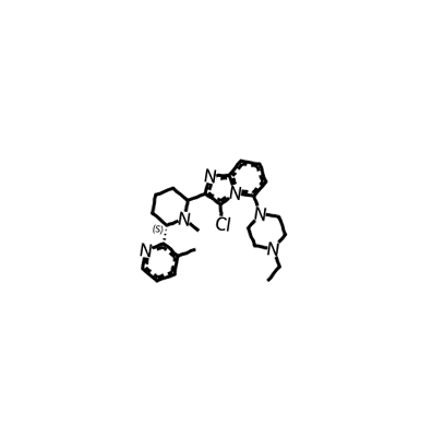 CCN1CCN(c2cccc3nc(C4CCC[C@@H](c5ncccc5C)N4C)c(Cl)n23)CC1